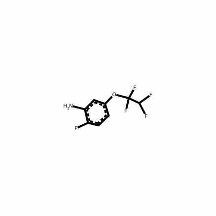 Nc1cc(OC(F)(F)C(F)F)ccc1F